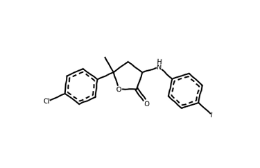 CC1(c2ccc(Cl)cc2)CC(Nc2ccc(I)cc2)C(=O)O1